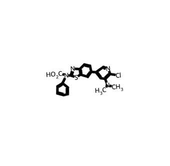 CN(C)c1cc(-c2ccc3nc(N(C(=O)O)c4ccccc4)sc3c2)cnc1Cl